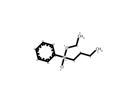 CCCC[Si](Cl)(OCC)c1ccccc1